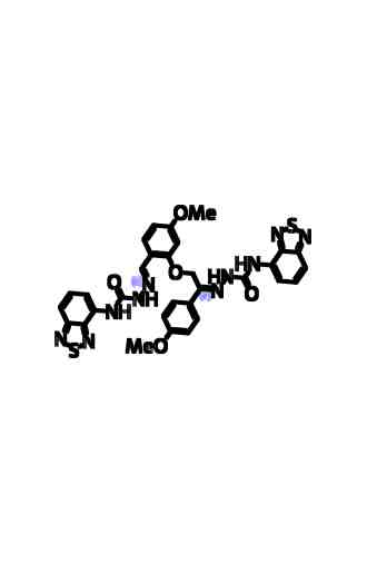 COc1ccc(/C(COc2cc(OC)ccc2/C=N/NC(=O)Nc2cccc3nsnc23)=N/NC(=O)Nc2cccc3nsnc23)cc1